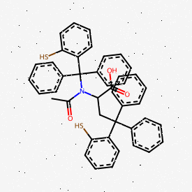 CC(=O)N(C(CC(c1ccccc1)(c1ccccc1)c1ccccc1S)C(=O)O)C(c1ccccc1)(c1ccccc1)c1ccccc1S